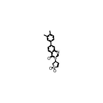 Cc1ccc(-c2ccc3c(=O)n(C4C=CS(=O)(=O)C4)cnc3c2)cc1C